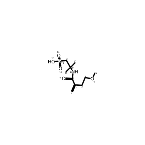 C=C(CCOC)C(=O)NC(C)(C)CS(=O)(=O)O